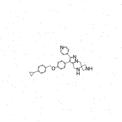 c1cc(-c2nn3c(c2-c2ccc(OCc4ccc(C5CC5)cc4)cc2)CNC2(CNC2)C3)ccn1